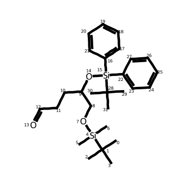 CC(C)(C)[Si](C)(C)OCC(CCC=O)O[Si](c1ccccc1)(c1ccccc1)C(C)(C)C